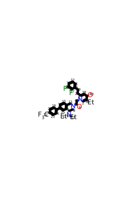 CCc1cn(CC(=O)N(CCN(CC)CC)Cc2ccc(-c3ccc(C(F)(F)F)cc3)cc2)c(CCc2cccc(F)c2F)cc1=O